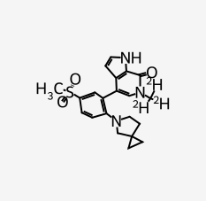 [2H]C([2H])([2H])n1cc(-c2cc(S(C)(=O)=O)ccc2N2CCC3(CC3)C2)c2cc[nH]c2c1=O